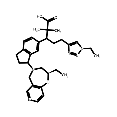 CC[C@@H]1CN(C2CCc3ccc(C(CCc4cn(CC)nn4)C(C)(C)C(=O)O)cc32)Cc2cnccc2O1